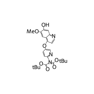 COc1cc2c(Oc3ccc(N(C(=O)OC(C)(C)C)C(=O)OC(C)(C)C)nc3)ccnc2cc1O